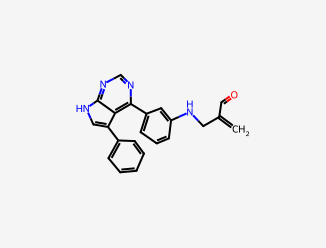 C=C(C=O)CNc1cccc(-c2ncnc3[nH]cc(-c4ccccc4)c23)c1